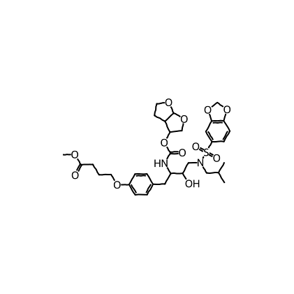 COC(=O)CCCOc1ccc(CC(NC(=O)OC2COC3OCCC23)C(O)CN(CC(C)C)S(=O)(=O)c2ccc3c(c2)OCO3)cc1